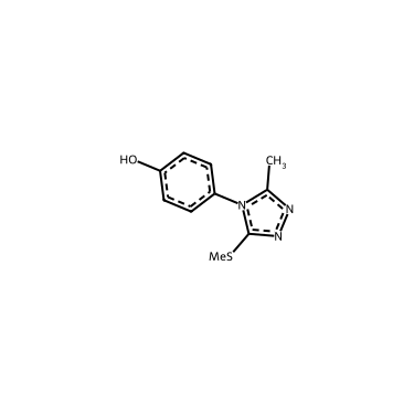 CSc1nnc(C)n1-c1ccc(O)cc1